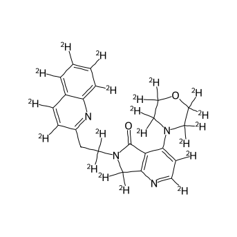 [2H]c1nc2c(c(N3C([2H])([2H])C([2H])([2H])OC([2H])([2H])C3([2H])[2H])c1[2H])C(=O)N(C([2H])([2H])Cc1nc3c([2H])c([2H])c([2H])c([2H])c3c([2H])c1[2H])C2([2H])[2H]